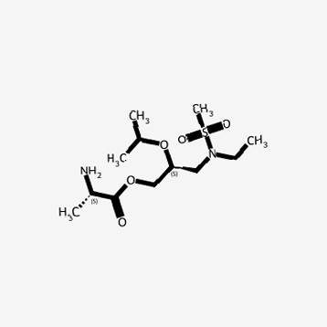 CCN(C[C@@H](COC(=O)[C@H](C)N)OC(C)C)S(C)(=O)=O